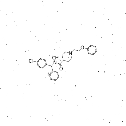 CN(C(=O)C1CCN(CCOc2ccccc2)CC1)[C@@H](c1ccc(Cl)cc1)c1ccccn1